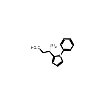 N[C@@H](CC(=O)O)c1cccn1-c1ccccc1